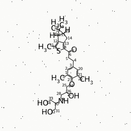 Cc1cc(CCC(=O)c2sc(C)c3c2C[C@@H]2[C@H]3C2(C)C)cc(C)c1OCC(O)CNC(CO)CO